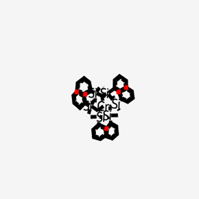 C[Si](C)(c1ccccc1)[CH]([Cr]([CH]([Si](C)(C)c1ccccc1)[Si](C)(C)c1ccccc1)[CH]([Si](C)(C)c1ccccc1)[Si](C)(C)c1ccccc1)[Si](C)(C)c1ccccc1